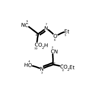 CCOC(=O)C(C#N)=NO.CCON=C(C#N)C(=O)O